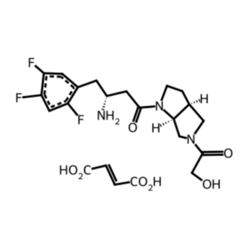 N[C@@H](CC(=O)N1CC[C@H]2CN(C(=O)CO)C[C@H]21)Cc1cc(F)c(F)cc1F.O=C(O)/C=C/C(=O)O